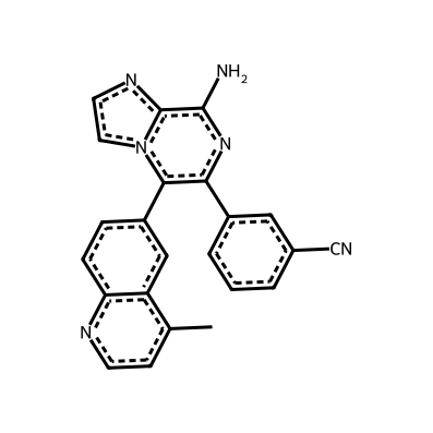 Cc1ccnc2ccc(-c3c(-c4cccc(C#N)c4)nc(N)c4nccn34)cc12